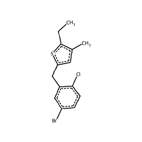 CCc1sc(Cc2cc(Br)ccc2Cl)cc1C